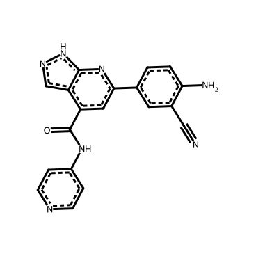 N#Cc1cc(-c2cc(C(=O)Nc3ccncc3)c3cn[nH]c3n2)ccc1N